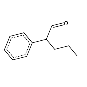 CCCC(C=O)c1cc[c]cc1